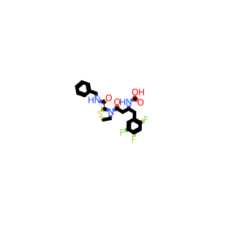 O=C(O)NC(CC(=O)N1CCS[C@@H]1C(=O)NCc1ccccc1)Cc1cc(F)c(F)cc1F